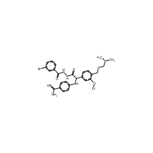 CCOc1cc(C(Nc2ccc(C(=N)N)cc2)C(=O)NNC(=O)c2cccc(Br)c2)ccc1COCN(C)C